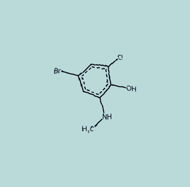 CNc1cc(Br)cc(Cl)c1O